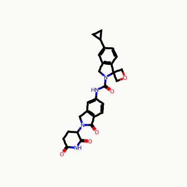 O=C1CCC(N2Cc3cc(NC(=O)N4Cc5cc(C6CC6)ccc5C45COC5)ccc3C2=O)C(=O)N1